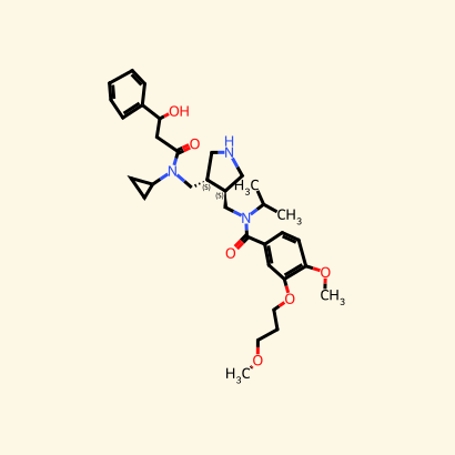 COCCCOc1cc(C(=O)N(C[C@@H]2CNC[C@H]2CN(C(=O)CC(O)c2ccccc2)C2CC2)C(C)C)ccc1OC